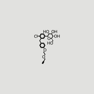 C#CCOCCOc1ccc(Cc2cc(C3O[C@H](CO)[C@@H](O)[C@H](O)[C@H]3O)ccc2Cl)cc1